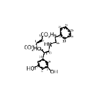 O=C(O)/C=C/C(=O)O.Oc1cc(O)cc(C(O)CNCCc2ccccc2)c1